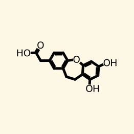 O=C(O)Cc1ccc2c(c1)CCc1c(O)cc(O)cc1O2